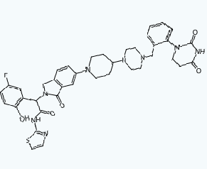 O=C1CCN(c2ccccc2CN2CCN(C3CCN(c4ccc5c(c4)C(=O)N(C(C(=O)Nc4nccs4)c4cc(F)ccc4O)C5)CC3)CC2)C(=O)N1